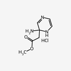 COC(=O)CC1(N)C=NC=CN1.Cl